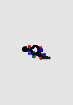 COC(=O)Nc1ccc2c(c1)NC(=O)CC/C=C/C[C@H](NC(=O)C1CCCCC1)c1nc-2c(Cl)[nH]1